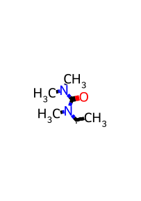 C[CH]N(C)C(=O)N(C)C